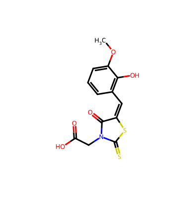 COc1cccc(C=C2SC(=S)N(CC(=O)O)C2=O)c1O